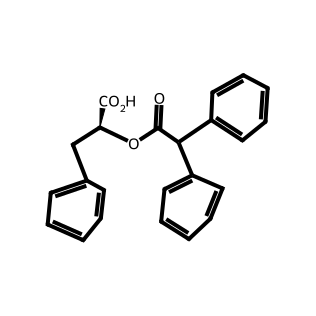 O=C(O[C@@H](Cc1ccccc1)C(=O)O)C(c1ccccc1)c1ccccc1